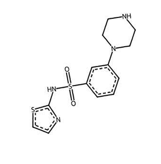 O=S(=O)(Nc1nccs1)c1cccc(N2CCNCC2)c1